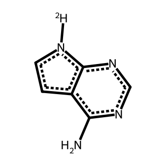 [2H]n1ccc2c(N)ncnc21